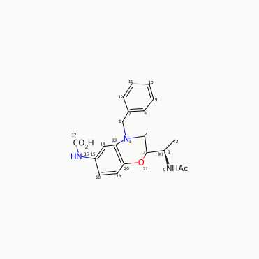 CC(=O)N[C@H](C)C1CN(Cc2ccccc2)c2cc(NC(=O)O)ccc2O1